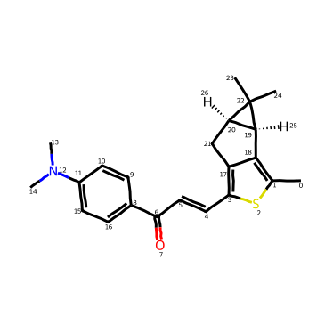 Cc1sc(C=CC(=O)c2ccc(N(C)C)cc2)c2c1[C@H]1[C@@H](C2)C1(C)C